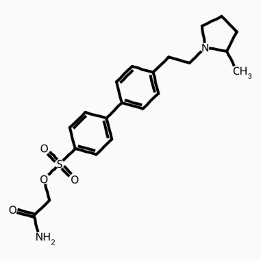 CC1CCCN1CCc1ccc(-c2ccc(S(=O)(=O)OCC(N)=O)cc2)cc1